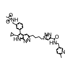 Cc1ccc(CNC(=O)c2cn(CCCCc3cc4c(-c5cccc(CNS(C)(=O)=O)c5)c(C5CC5)[nH]c4nn3)nn2)cn1